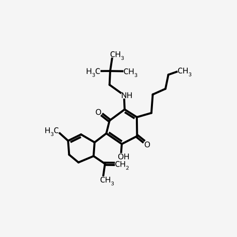 C=C(C)C1CCC(C)=CC1C1=C(O)C(=O)C(CCCCC)=C(NCC(C)(C)C)C1=O